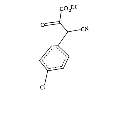 CCOC(=O)C(=O)C(C#N)c1ccc(Cl)cc1